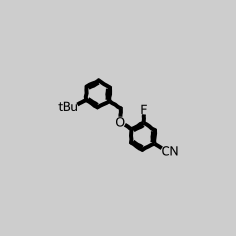 CC(C)(C)c1cccc(COc2ccc(C#N)cc2F)c1